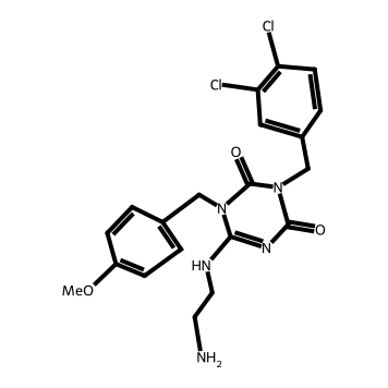 COc1ccc(Cn2c(NCCN)nc(=O)n(Cc3ccc(Cl)c(Cl)c3)c2=O)cc1